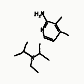 CCN(C(C)C)C(C)C.Cc1ccnc(N)c1C